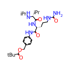 CC(C)N[C@@H](C(=O)N[C@H](CCCNC(N)=O)C(=O)Nc1ccc(COC(=O)C(C)(C)C)cc1)C(C)C